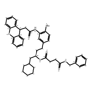 CC(C)(C)c1ccc(CC[C@H](CC2CCCCC2)OC(=O)CCC(=O)OCc2ccccc2)cc1NC(=O)CC1c2ccccc2Oc2ccccc21